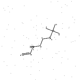 CC(C)(C)SCCNC=O